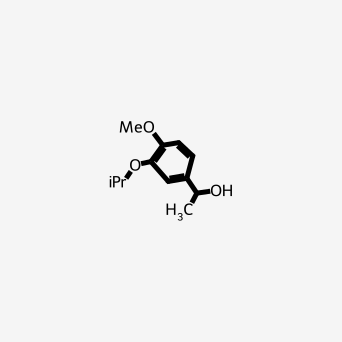 COc1ccc(C(C)O)cc1OC(C)C